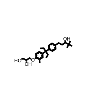 CCC(CC)(c1ccc(CCC(O)C(C)(C)C)cc1)c1ccc(OC[C@H](O)CO)c(C)c1